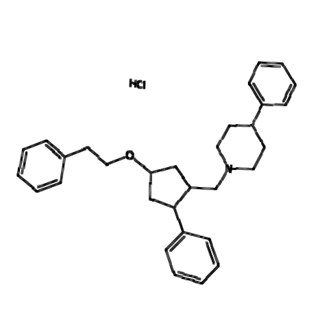 Cl.c1ccc(CCOC2CC(CN3CCC(c4ccccc4)CC3)C(c3ccccc3)C2)cc1